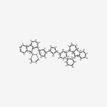 C1=CCC(n2c3ccccc3c3cccc(-c4cccc(-c5ccc(-c6cccc(-c7cccc8c9ccccc9n(-c9ccccc9)c78)c6)s5)c4)c32)C=C1